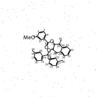 COc1cccc(C(=O)OC2C(OC(=O)c3cccc(C)c3)[C@@H](c3ccccc3C)c3ccccc3[C@@H]2C)c1